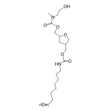 CCCCCCCCCCCCCCCCCNC(=O)OCC1COC(COC(=O)N(C)CCO)C1